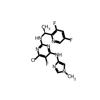 C[C@H](Nc1nc(Cl)c(F)c(Nc2cn(C)cn2)n1)c1ncc(F)cc1F